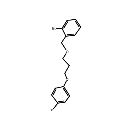 CCc1ccccc1COCCCOc1ccc(Br)cc1